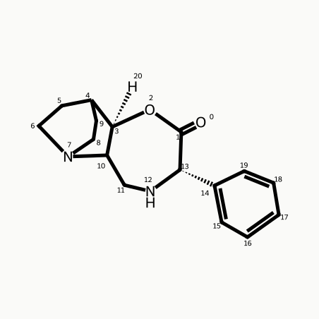 O=C1O[C@@H]2C3CCN(CC3)C2CN[C@H]1c1ccccc1